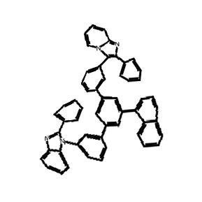 c1ccc(-c2nc3ccccn3c2-c2cccc(-c3cc(-c4cccc(-n5c(-c6ccccc6)nc6ccccc65)c4)cc(-c4cccc5ccccc45)c3)c2)cc1